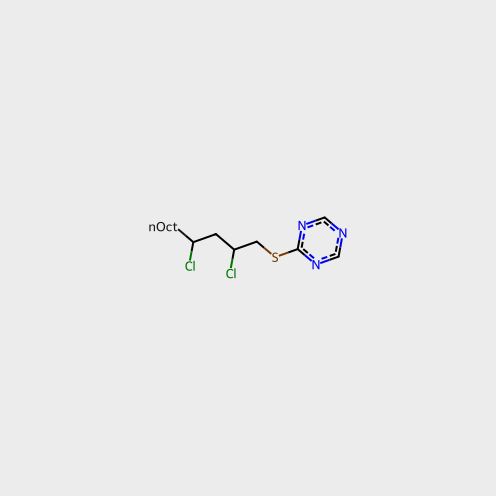 CCCCCCCCC(Cl)CC(Cl)CSc1ncncn1